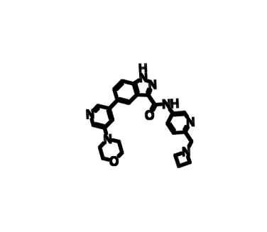 O=C(Nc1ccc(CN2CCC2)nc1)c1n[nH]c2ccc(-c3cncc(N4CCOCC4)c3)cc12